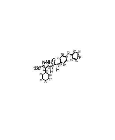 CC(C)(C)c1n[nH]c(NC(=O)Nc2ccc(Cc3ccncc3)cc2)c1C1CCCCC1